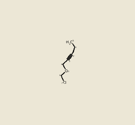 [CH2]CC#CCOCCl